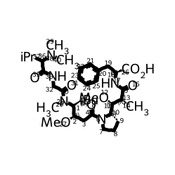 CC[C@H](C)C([C@@H](CC(=O)N1CCC[C@H]1[C@H](OC)[C@@H](C)C(=O)N[C@@H](Cc1ccccc1)C(=O)O)OC)N(C)C(=O)CNC(=O)C(C(C)C)N(C)C